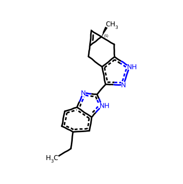 CCc1ccc2nc(-c3n[nH]c4c3CC3=C[C@]3(C)C4)[nH]c2c1